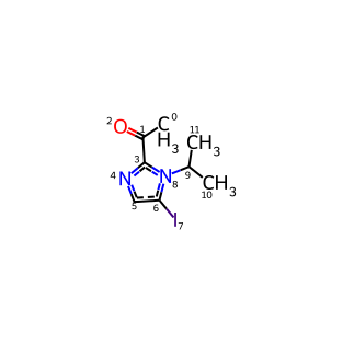 CC(=O)c1ncc(I)n1C(C)C